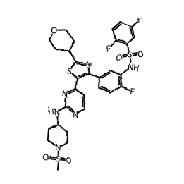 CS(=O)(=O)N1CCC(Nc2nccc(-c3sc(C4CCOCC4)nc3-c3ccc(F)c(NS(=O)(=O)c4cc(F)ccc4F)c3)n2)CC1